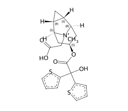 C[N+]1(CC(=O)O)[C@@H]2C[C@@H](OC(=O)C(O)(c3cccs3)c3cccs3)C[C@H]1[C@@H]1C[C@@H]12